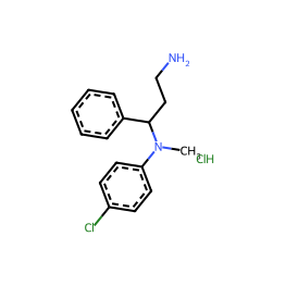 CN(c1ccc(Cl)cc1)C(CCN)c1ccccc1.Cl